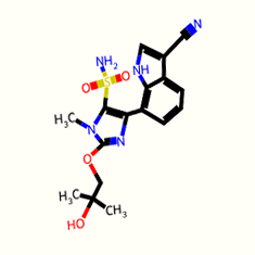 Cn1c(OCC(C)(C)O)nc(-c2cccc3c(C#N)c[nH]c23)c1S(N)(=O)=O